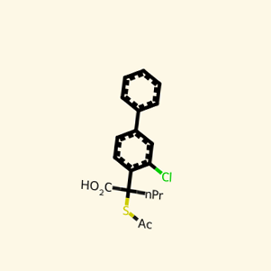 CCCC(SC(C)=O)(C(=O)O)c1ccc(-c2ccccc2)cc1Cl